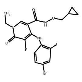 CCn1cc(C(=O)NOCC2CC2)c(Nc2ccc(Br)cc2F)c(F)c1=O